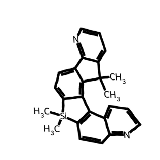 CC1(C)c2cccnc2-c2ccc3c(c21)-c1c(ccc2ncccc12)[Si]3(C)C